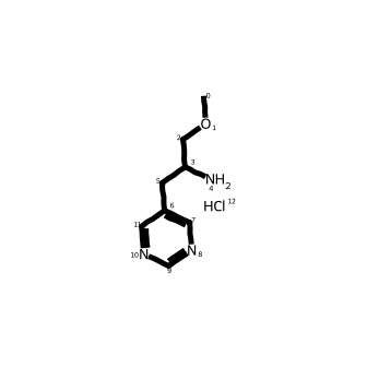 COCC(N)Cc1cncnc1.Cl